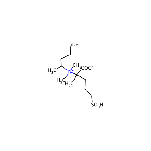 CCCCCCCCCCCCC(C)[N+](C)(C)C(C)(CCCS(=O)(=O)O)C(=O)[O-]